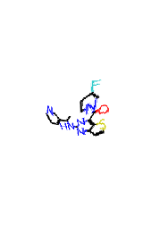 CC(Nc1nc(C(=O)N2CCC(F)C2)c2sccc2n1)c1cccnc1